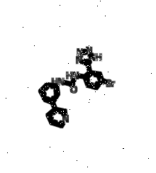 O=C(Nc1cccc(-c2cccnc2)c1)Nc1ccc(Br)cc1-c1nnn[nH]1